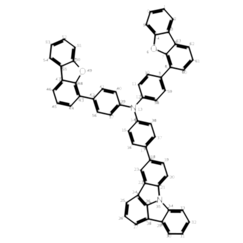 c1ccc2c(c1)oc1c(-c3ccc(N(c4ccc(-c5ccc6c(c5)c5cccc7c8ccccc8n6c75)cc4)c4ccc(-c5cccc6c5oc5ccccc56)cc4)cc3)cccc12